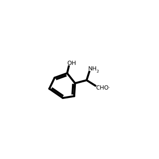 NC([C]=O)c1ccccc1O